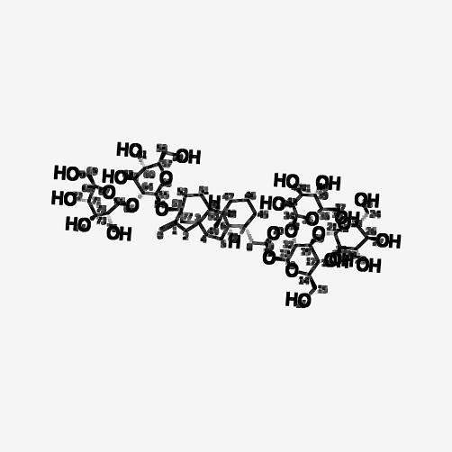 C=C1CC23CC[C@@H]4[C@@H](CC(=O)O[C@@H]5O[C@H](CO)[C@@H](O)[C@H](O[C@@H]6O[C@H](CO)[C@@H](O)[C@H](O)[C@H]6O)[C@H]5O[C@@H]5O[C@H](CO)[C@@H](O)[C@H](O)[C@H]5O)CCC[C@@]4(C)[C@@H]2CC[C@]1(O[C@@H]1O[C@H](CO)[C@@H](O)[C@H](O)[C@H]1O[C@@H]1O[C@H](CO)[C@@H](O)[C@H](O)[C@H]1O)C3